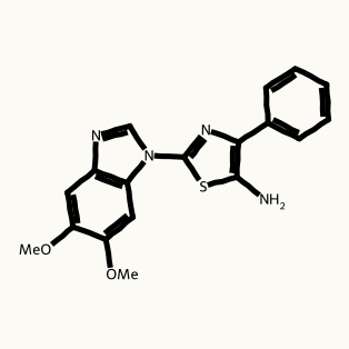 COc1cc2ncn(-c3nc(-c4ccccc4)c(N)s3)c2cc1OC